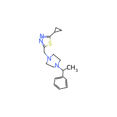 CC(c1ccccc1)N1CCN(Cc2nnc(C3CC3)s2)CC1